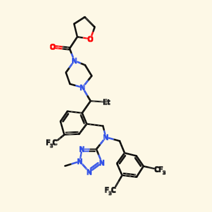 CCC(c1ccc(C(F)(F)F)cc1CN(Cc1cc(C(F)(F)F)cc(C(F)(F)F)c1)c1nnn(C)n1)N1CCN(C(=O)C2CCCO2)CC1